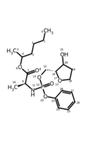 CCCCC(C)OC(=O)[C@H](C)NP(=O)(OC[C@H]1OCCC1O)Oc1ccccc1